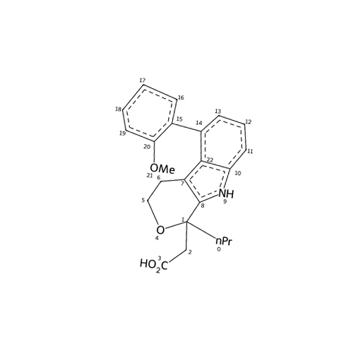 CCCC1(CC(=O)O)OCCc2c1[nH]c1cccc(-c3ccccc3OC)c21